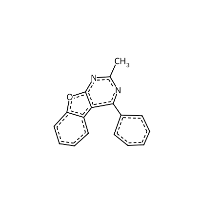 Cc1nc(-c2ccccc2)c2c(n1)oc1ccccc12